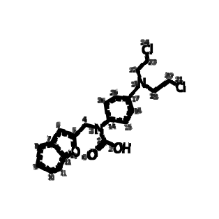 O=C(O)N(Cc1cc2ccccc2o1)c1ccc(N(CCCl)CCCl)cc1